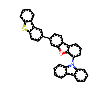 c1ccc2c(c1)sc1ccc(-c3ccc4c(c3)oc3c(-n5c6ccccc6c6ccccc65)cccc34)cc12